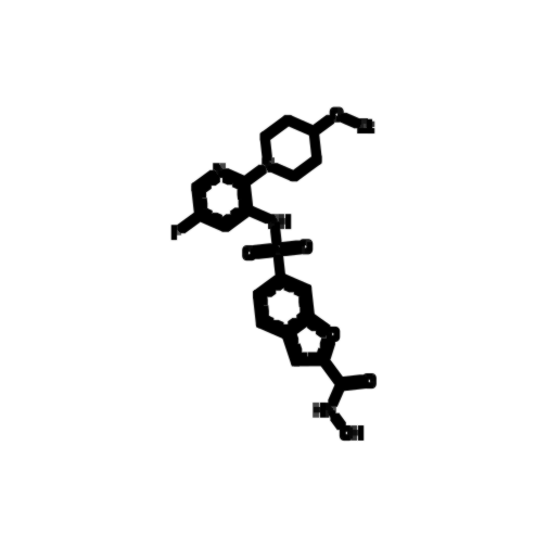 CCOC1CCN(c2ncc(F)cc2NS(=O)(=O)c2ccc3cc(C(=O)NO)oc3c2)CC1